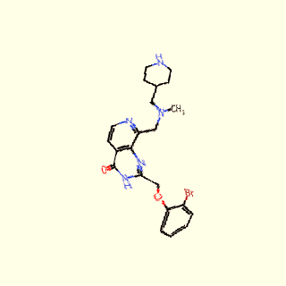 CN(Cc1nccc2c(=O)[nH]c(COc3ccccc3Br)nc12)CC1CCNCC1